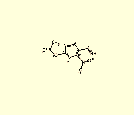 CC(C)Oc1ccc(C=N)c([N+](=O)[O-])n1